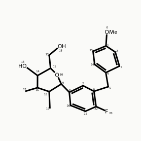 COc1ccc(Cc2cc(C3OC(CO)C(O)C(C)C3C)ccc2F)cc1